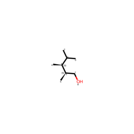 CC(C)[C@H](C)[C@H](C)CO